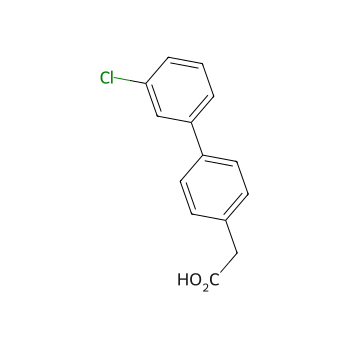 O=C(O)Cc1ccc(-c2cccc(Cl)c2)cc1